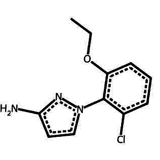 CCOc1cccc(Cl)c1-n1ccc(N)n1